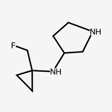 FCC1(NC2CCNC2)CC1